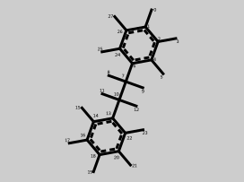 Cc1c(C)c(C)c(C(C)(C)C(C)(C)c2c(C)c(C)c(C)c(C)c2C)c(C)c1C